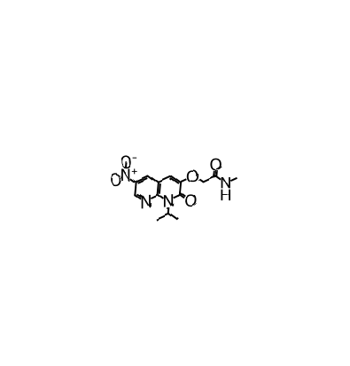 CNC(=O)COc1cc2cc([N+](=O)[O-])cnc2n(C(C)C)c1=O